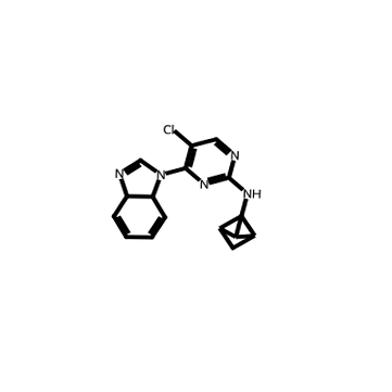 Clc1cnc(NC2C3CC2C3)nc1N1C=NC2C=CC=CC21